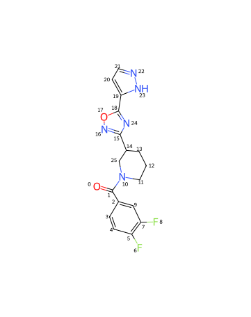 O=C(c1ccc(F)c(F)c1)N1CCCC(c2noc(-c3ccn[nH]3)n2)C1